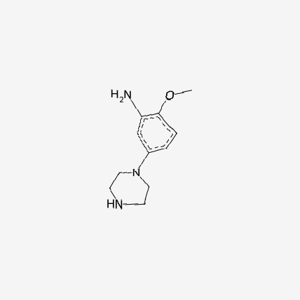 COc1ccc(N2CCNCC2)cc1N